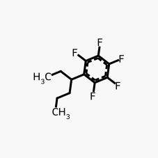 CCCC(CC)c1c(F)c(F)c(F)c(F)c1F